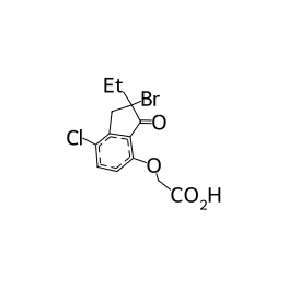 CCC1(Br)Cc2c(Cl)ccc(OCC(=O)O)c2C1=O